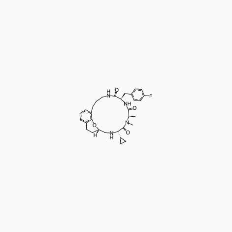 C[C@@H]1C(=O)N[C@H](Cc2ccc(F)cc2)C(=O)NCCCc2cccc3c2O[C@@H](CC3)CN[C@@H](C2CC2)C(=O)N1C